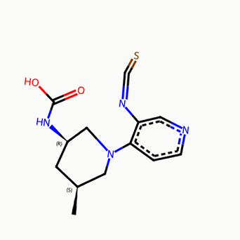 C[C@H]1C[C@@H](NC(=O)O)CN(c2ccncc2N=C=S)C1